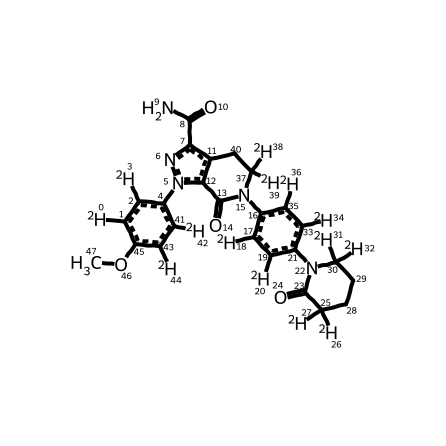 [2H]c1c([2H])c(-n2nc(C(N)=O)c3c2C(=O)N(c2c([2H])c([2H])c(N4C(=O)C([2H])([2H])CCC4([2H])[2H])c([2H])c2[2H])C([2H])([2H])C3)c([2H])c([2H])c1OC